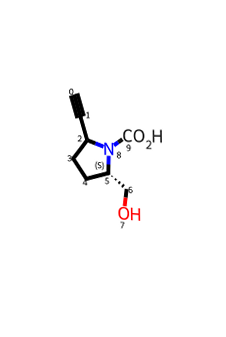 C#CC1CC[C@@H](CO)N1C(=O)O